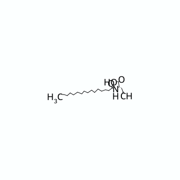 C#CC[C@H](NC(=O)CCCCCCCCCCCCCCC)C(=O)O